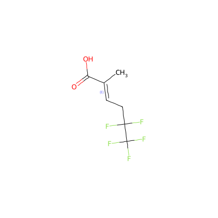 C/C(=C\CC(F)(F)C(F)(F)F)C(=O)O